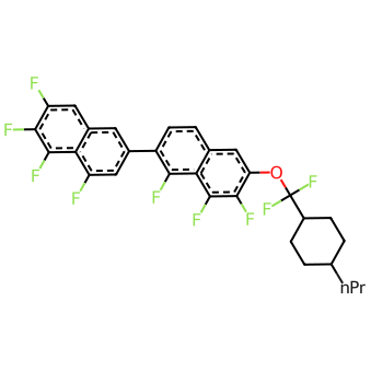 CCCC1CCC(C(F)(F)Oc2cc3ccc(-c4cc(F)c5c(F)c(F)c(F)cc5c4)c(F)c3c(F)c2F)CC1